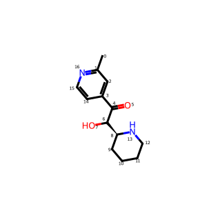 Cc1cc(C(=O)C(O)[C@@H]2CCCCN2)ccn1